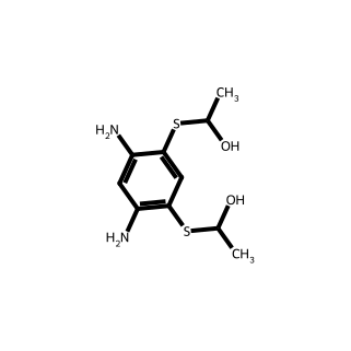 CC(O)Sc1cc(SC(C)O)c(N)cc1N